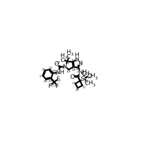 CC1(C)c2[nH]nc(NC(=O)C3([Si](C)(C)C)CCC3)c2CN1C(=O)Nc1ccccc1C(F)(F)F